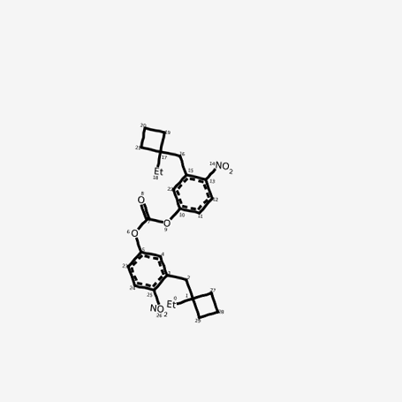 CCC1(Cc2cc(OC(=O)Oc3ccc([N+](=O)[O-])c(CC4(CC)CCC4)c3)ccc2[N+](=O)[O-])CCC1